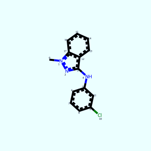 Cn1nc(Nc2cccc(Cl)c2)c2ccccc21